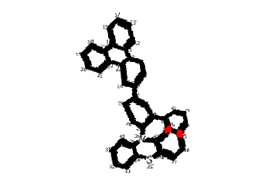 c1ccc(-c2cc(-c3ccc4c5ccccc5c5ccccc5c4c3)ccc2N2c3ccccc3Sc3ccccc32)cc1